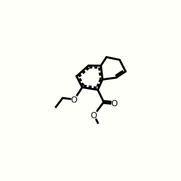 CCOc1ccc2c(c1C(=O)OC)C=CCC2